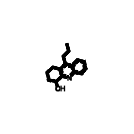 CCCc1c2c(nc3ccccc13)C(O)CCC2